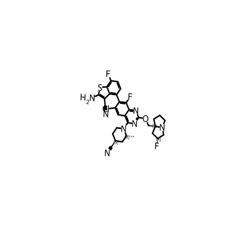 C[C@@H]1C[C@@H](C#N)CCN1c1nc(OC[C@@]23CCCN2C[C@H](F)C3)nc2c(F)c(-c3ccc(F)c4sc(N)c(C#N)c34)c(Cl)cc12